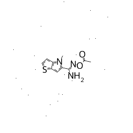 CC(=O)ON=C(N)c1cc2sccc2n1C